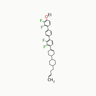 C/C=C/CCC1CCC(C2CC=C(c3ccc(-c4ccc(-c5ccc(OCC)c(F)c5F)cc4)c(F)c3F)CC2)CC1